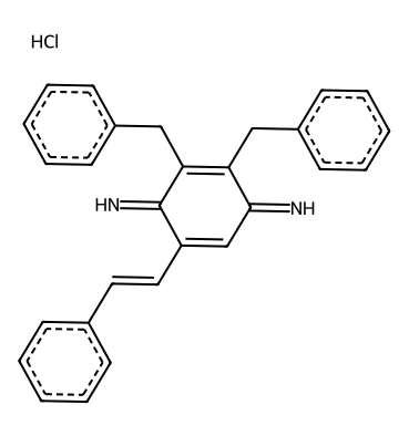 Cl.N=C1C=C(C=Cc2ccccc2)C(=N)C(Cc2ccccc2)=C1Cc1ccccc1